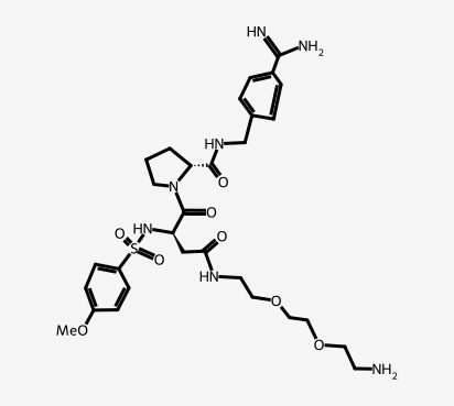 COc1ccc(S(=O)(=O)N[C@H](CC(=O)NCCOCCOCCN)C(=O)N2CCC[C@@H]2C(=O)NCc2ccc(C(=N)N)cc2)cc1